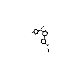 O=C(NCCO)c1cccc(-c2ccc3c(c2)C(c2ccc(Cl)cc2Cl)CCO3)c1